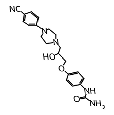 N#Cc1ccc(N2CCN(CC(O)COc3ccc(NC(N)=O)cc3)CC2)cc1